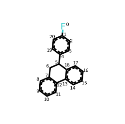 Fc1ccc(C2Cc3ccccc3-c3ccccc32)cc1